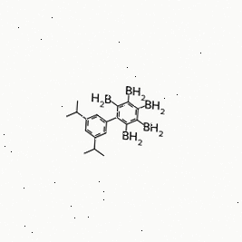 Bc1c(B)c(B)c(-c2cc(C(C)C)cc(C(C)C)c2)c(B)c1B